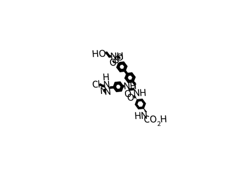 O=C(O)NC[C@H]1CC[C@H](C(=O)N[C@@H](Cc2ccc(-c3ccc(S(=O)(=O)NCCO)cc3)cc2)C(=O)Nc2ccc(-c3nnc(Cl)[nH]3)cc2)CC1